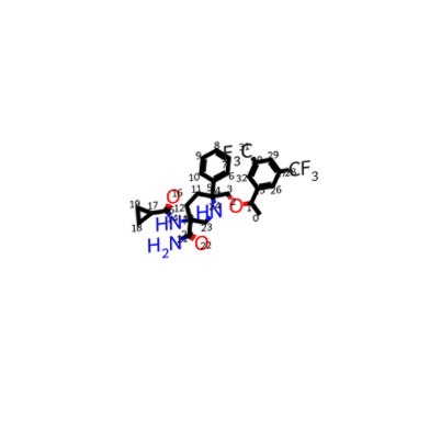 CC(OCC1(c2ccccc2)CC[C@@](NC(=O)C2CC2)(C(N)=O)CN1)c1cc(C(F)(F)F)cc(C(F)(F)F)c1